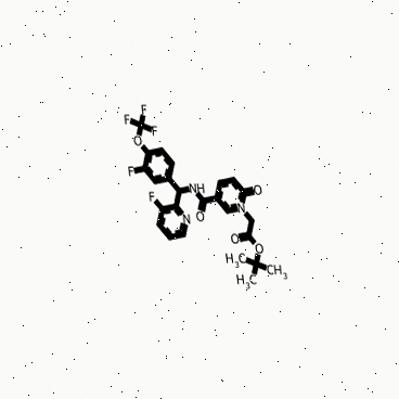 CC(C)(C)OC(=O)Cn1cc(C(=O)NC(c2ccc(OC(F)(F)F)c(F)c2)c2ncccc2F)ccc1=O